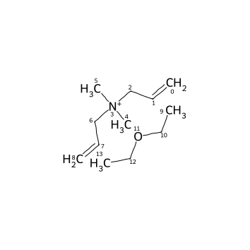 C=CC[N+](C)(C)CC=C.CCOCC